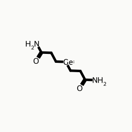 NC(=O)C[CH2][Ge][CH2]CC(N)=O